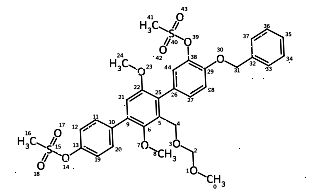 COCOCc1c(OC)c(-c2ccc(OS(C)(=O)=O)cc2)cc(OC)c1-c1ccc(OCc2ccccc2)c(OS(C)(=O)=O)c1